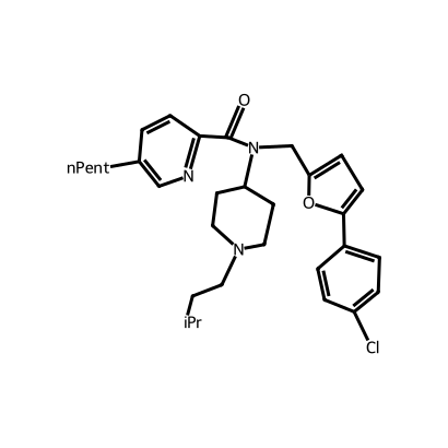 CCCCCc1ccc(C(=O)N(Cc2ccc(-c3ccc(Cl)cc3)o2)C2CCN(CCC(C)C)CC2)nc1